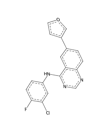 Fc1ccc(Nc2ncnc3ccc(-c4ccoc4)cc23)cc1Cl